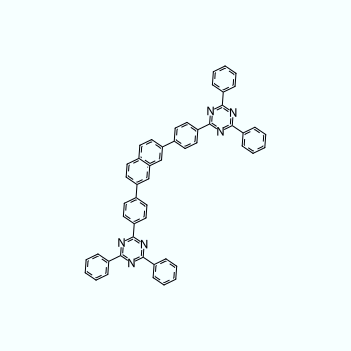 c1ccc(-c2nc(-c3ccccc3)nc(-c3ccc(-c4ccc5ccc(-c6ccc(-c7nc(-c8ccccc8)nc(-c8ccccc8)n7)cc6)cc5c4)cc3)n2)cc1